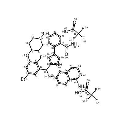 CCc1cc(OC2CCN(C)CC2)c(F)c(C(Nc2ccc3c(N)nccc3c2)c2nc(-c3ccccc3C(N)=O)c[nH]2)c1.O=C(O)C(F)(F)F.O=C(O)C(F)(F)F